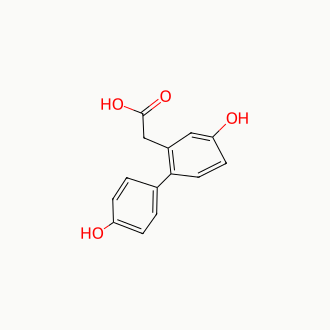 O=C(O)Cc1cc(O)ccc1-c1ccc(O)cc1